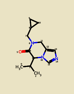 CC(C)C1C(=O)N(CC2CC2)Cc2cncn21